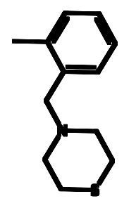 Cc1ccccc1CN1CCSCC1